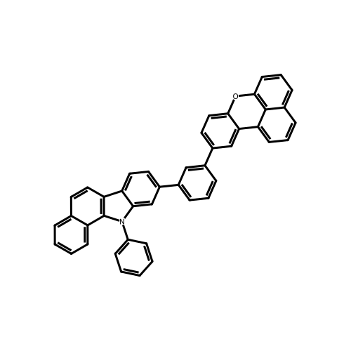 c1ccc(-n2c3cc(-c4cccc(-c5ccc6c(c5)-c5cccc7cccc(c57)O6)c4)ccc3c3ccc4ccccc4c32)cc1